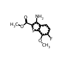 COC(=O)c1sc2c(OC)c(F)ccc2c1N